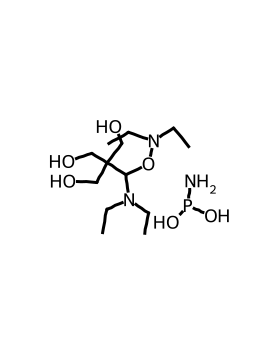 CCN(CC)OC(N(CC)CC)C(CO)(CO)CO.NP(O)O